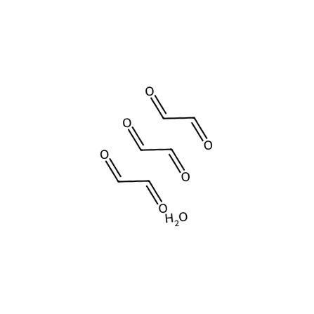 O.O=CC=O.O=CC=O.O=CC=O